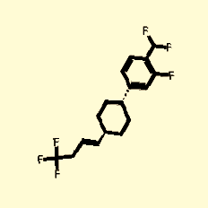 Fc1cc([C@H]2CC[C@H](C=CCC(F)(F)F)CC2)ccc1C(F)F